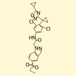 CCS(=O)(=O)c1ccc2c(cnn2CC(=O)Nc2cc(Cl)c(C3(c4noc(C5CC5)n4)CC3)c(Cl)c2)c1